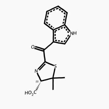 CC1(C)SC(C(=O)c2c[nH]c3ccccc23)=N[C@H]1C(=O)O